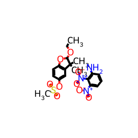 CCOC1Oc2ccc(OS(C)(=O)=O)cc2C1(C)C.Nc1cccc([N+](=O)[O-])c1[N+](=O)[O-]